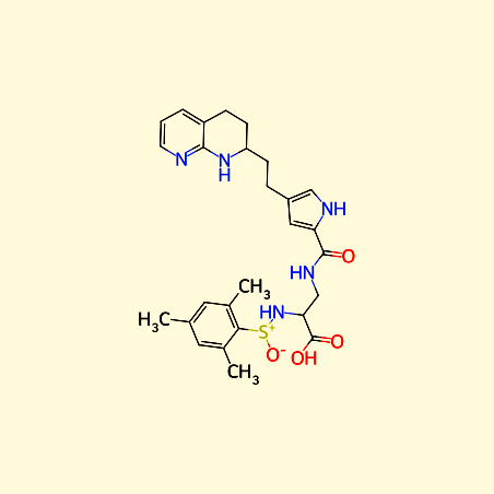 Cc1cc(C)c([S+]([O-])NC(CNC(=O)c2cc(CCC3CCc4cccnc4N3)c[nH]2)C(=O)O)c(C)c1